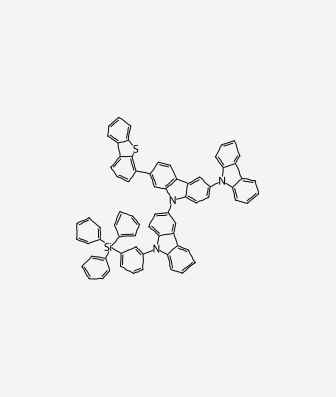 c1ccc([Si](c2ccccc2)(c2ccccc2)c2cccc(-n3c4ccccc4c4cc(-n5c6ccc(-n7c8ccccc8c8ccccc87)cc6c6ccc(-c7cccc8c7sc7ccccc78)cc65)ccc43)c2)cc1